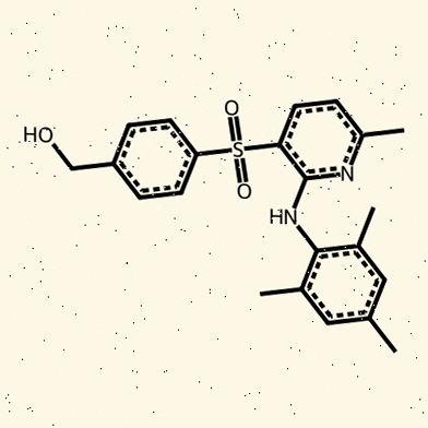 Cc1cc(C)c(Nc2nc(C)ccc2S(=O)(=O)c2ccc(CO)cc2)c(C)c1